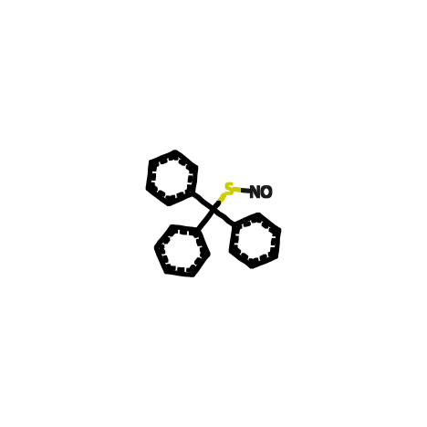 O=NSC(c1ccccc1)(c1ccccc1)c1ccccc1